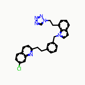 Clc1ccc2ccc(CCc3cccc(Cn4ccc5cccc(CCn6cnnn6)c54)c3)nc2c1